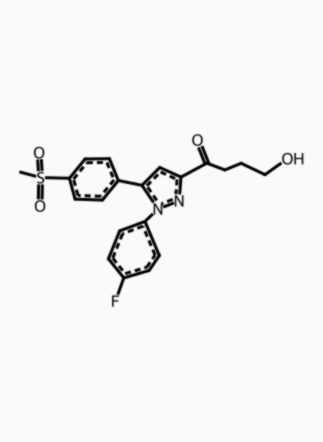 CS(=O)(=O)c1ccc(-c2cc(C(=O)CCCO)nn2-c2ccc(F)cc2)cc1